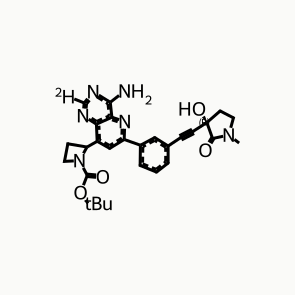 [2H]c1nc(N)c2nc(-c3cccc(C#C[C@]4(O)CCN(C)C4=O)c3)cc(C3CCN3C(=O)OC(C)(C)C)c2n1